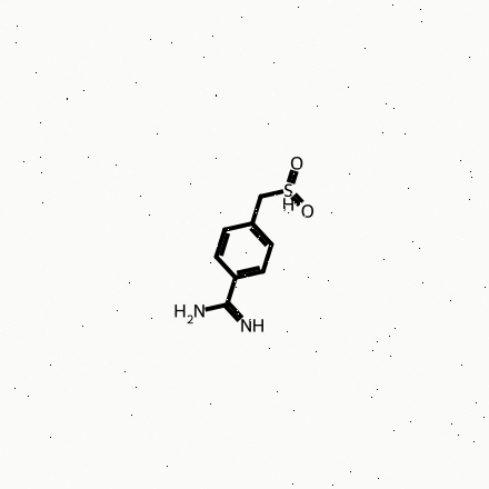 N=C(N)c1ccc(C[SH](=O)=O)cc1